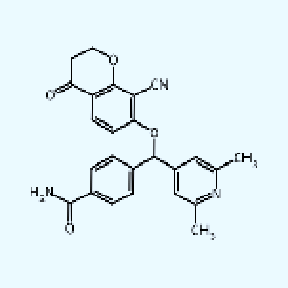 Cc1cc(C(Oc2ccc3c(c2C#N)OCCC3=O)c2ccc(C(N)=O)cc2)cc(C)n1